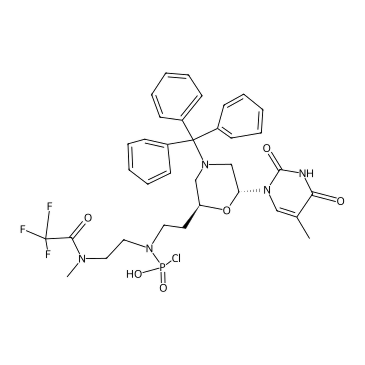 Cc1cn([C@H]2CN(C(c3ccccc3)(c3ccccc3)c3ccccc3)C[C@H](CCN(CCN(C)C(=O)C(F)(F)F)P(=O)(O)Cl)O2)c(=O)[nH]c1=O